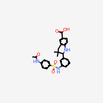 CC(=O)Nc1ccc(S(=O)(=O)Nc2cccc(C3Nc4ccc(C(=O)O)cc4CC3(C)C)c2)cc1